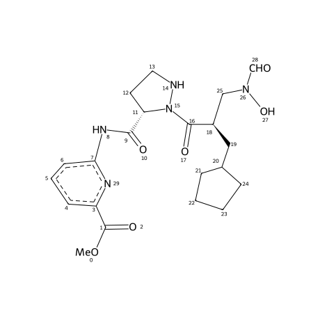 COC(=O)c1cccc(NC(=O)[C@@H]2CCNN2C(=O)[C@H](CC2CCCC2)CN(O)C=O)n1